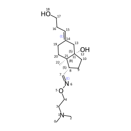 CN(C)CCO/N=C/[C@H]1CC[C@]2(O)C/C(=C/CCO)CC[C@]12C